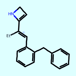 CC/C(=C\c1ccccc1Cc1ccccc1)C1=CCN1